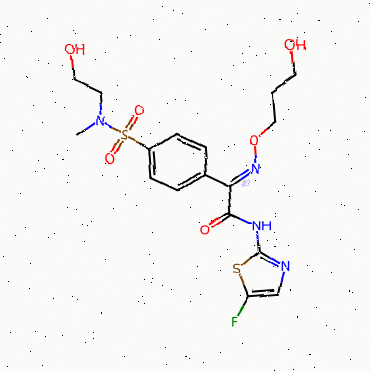 CN(CCO)S(=O)(=O)c1ccc(/C(=N\OCCCO)C(=O)Nc2ncc(F)s2)cc1